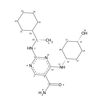 C[C@H](Nc1ncc(C(N)=O)c(N[C@H]2CC[C@@H](O)CC2)n1)C1CCCCC1